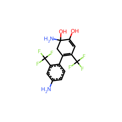 Nc1ccc(C2=C(C(F)(F)F)C=C(O)C(N)(O)C2)c(C(F)(F)F)c1